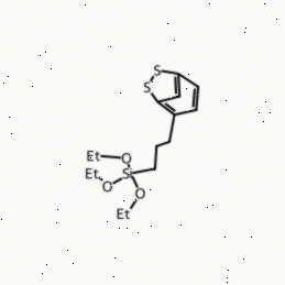 CCO[Si](CCCc1ccc2cc1SS2)(OCC)OCC